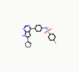 O=S(=O)(Nc1ccc(-c2ncnc3[nH]c(C4=CCCC4)cc23)cc1)c1ccc(F)cc1